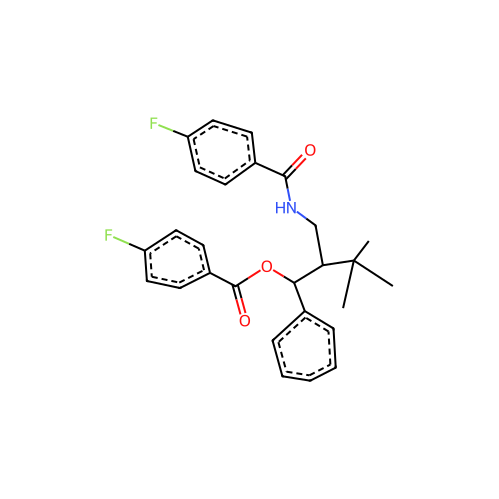 CC(C)(C)C(CNC(=O)c1ccc(F)cc1)C(OC(=O)c1ccc(F)cc1)c1ccccc1